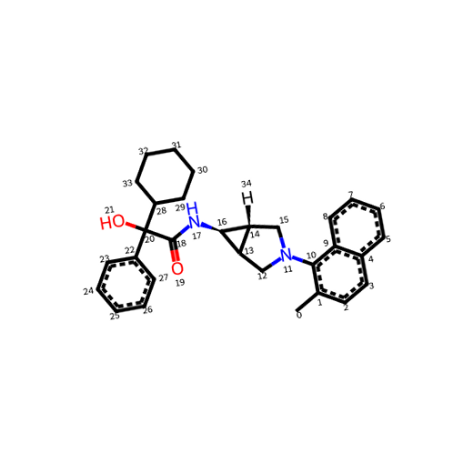 Cc1ccc2ccccc2c1N1CC2[C@@H](C1)[C@@H]2NC(=O)C(O)(c1ccccc1)C1CCCCC1